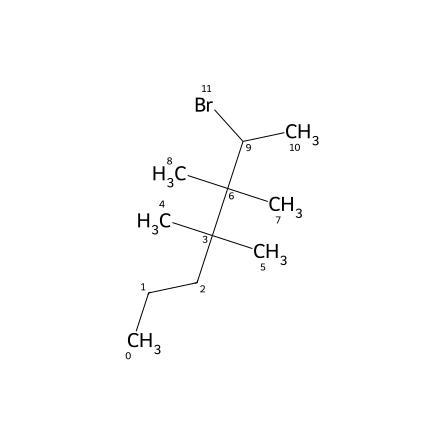 CCCC(C)(C)C(C)(C)C(C)Br